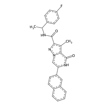 Cc1c(C(=O)NC(C)c2ccc(F)cc2)nn2cc(-c3ccc4ccccc4c3)[nH]c(=O)c12